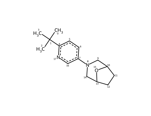 CC(C)(C)c1ccc(N2CC3CCC(C2)O3)cn1